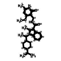 COc1cc(C)[nH]c(=O)c1CNC(=O)c1c(C)n(C(C)C2CCN(C(C)C)CC2)c2ccccc12